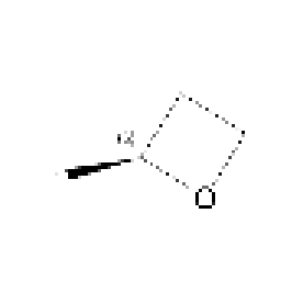 [CH2][C@H]1CCO1